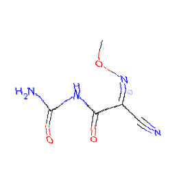 CO/N=C(/C#N)C(=O)NC(N)=O